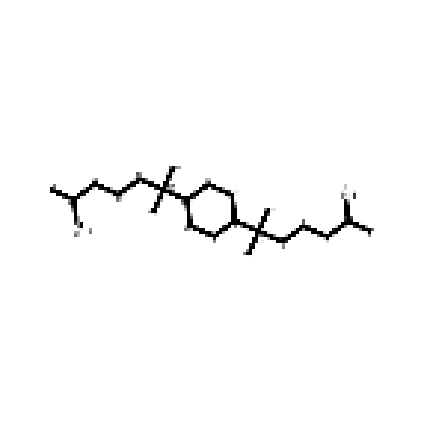 CC(N)CCCC(C)(C)C1CCC(C(C)(C)CCCC(C)N)CC1